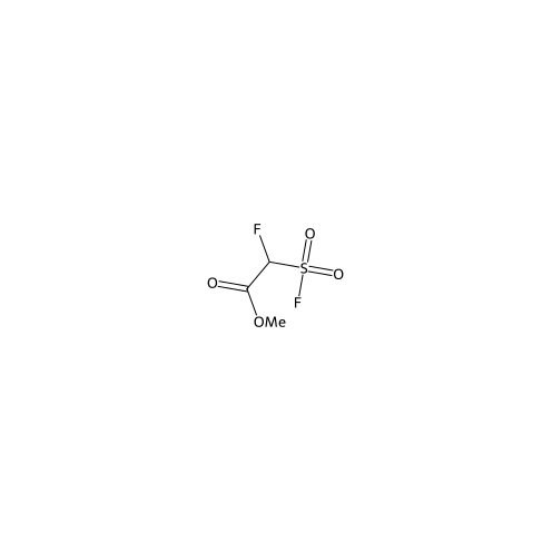 COC(=O)C(F)S(=O)(=O)F